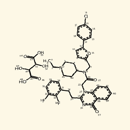 CCN1CCC(N(Cc2ccc(-c3ccc(Cl)cc3)o2)C(=O)Cn2c(CCc3cccc(F)c3F)nc(=O)c3ccccc32)CC1.O=C(O)C(O)C(O)C(=O)O